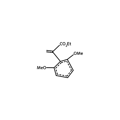 C=C(C(=O)OCC)c1c(OC)cccc1OC